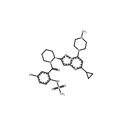 CN1CCN(c2cc(C3CC3)nc3cc([C@@H]4CCCCN4C(=O)c4cc(Cl)ccc4NS(C)(=O)=O)nn23)CC1